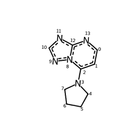 c1cc(N2CCCC2)n2ncnc2n1